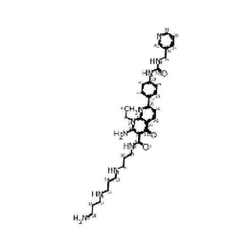 CCn1c(N)c(C(=O)NCCCNCCCNCCCN)c(=O)c2ccc(-c3ccc(NC(=O)NCc4cccnc4)cc3)nc21